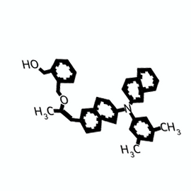 CC(=Cc1ccc2cc(N(c3cc(C)cc(C)c3)c3ccc4ccccc4c3)ccc2c1)OCc1ccccc1CO